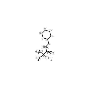 CC(C)(C)C(=O)NCC1CCCCC1